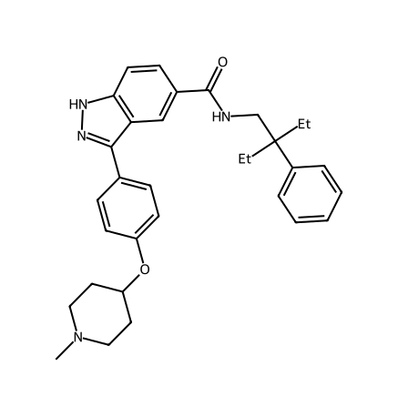 CCC(CC)(CNC(=O)c1ccc2[nH]nc(-c3ccc(OC4CCN(C)CC4)cc3)c2c1)c1ccccc1